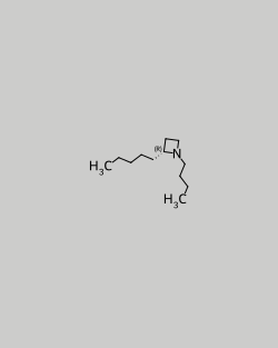 CCCCC[C@@H]1CCN1CCCC